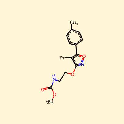 Cc1ccc(-c2onc(OCCNC(=O)OC(C)(C)C)c2C(C)C)cc1